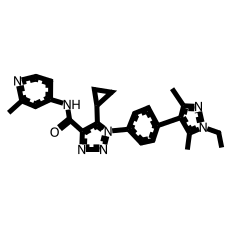 CCn1nc(C)c(-c2ccc(-n3nnc(C(=O)Nc4ccnc(C)c4)c3C3CC3)cc2)c1C